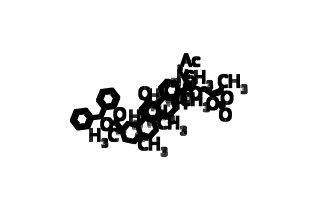 CC(=O)CN(C)[C@H]1CC[C@@]2(C)[C@@H](CC[C@]3(C)[C@@H]2C(=O)C=C2[C@@H]4C[C@@](C)(C(=O)OC(c5ccccc5)c5ccccc5)CC[C@]4(C)CC[C@]23C)[C@]1(C)C(=O)OCc1oc(=O)oc1C